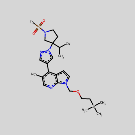 CCS(=O)(=O)N1CCC(C(C)C#N)(n2cc(-c3c(C#N)cnc4c3ccn4COCC[Si](C)(C)C)cn2)C1